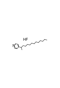 CCCCCCCCCCCCC(C)c1ccncc1.F